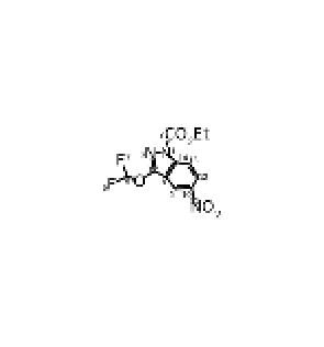 CCOC(=O)n1nc(OC(F)F)c2cc([N+](=O)[O-])ccc21